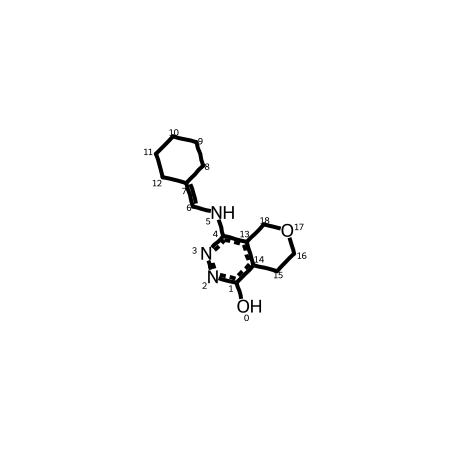 Oc1nnc(NC=C2CCCCC2)c2c1CCOC2